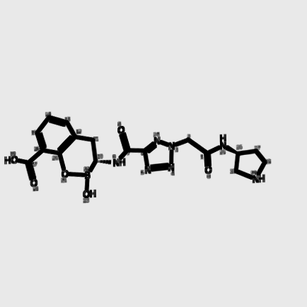 O=C(Cn1nnc(C(=O)N[C@H]2Cc3cccc(C(=O)O)c3OB2O)n1)N[C@H]1CCNC1